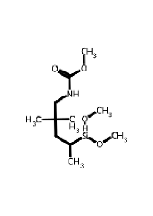 COC(=O)NCC(C)(C)CC(C)[SiH](OC)OC